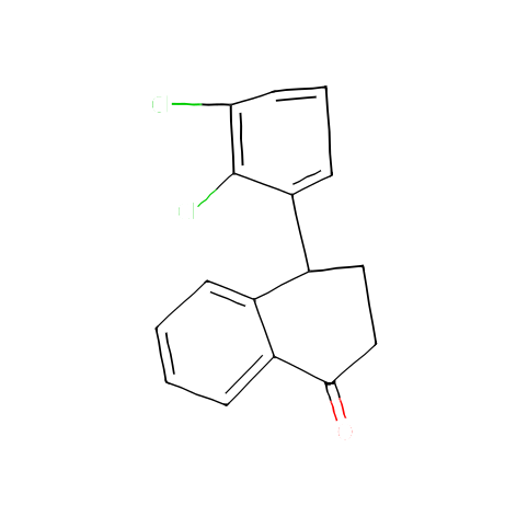 O=C1CCC(c2cccc(Cl)c2Cl)c2ccccc21